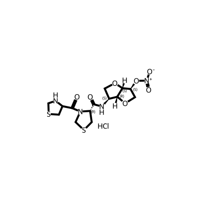 Cl.O=C(N[C@H]1CO[C@H]2[C@@H]1OC[C@@H]2O[N+](=O)[O-])[C@@H]1CSCN1C(=O)C1CSCN1